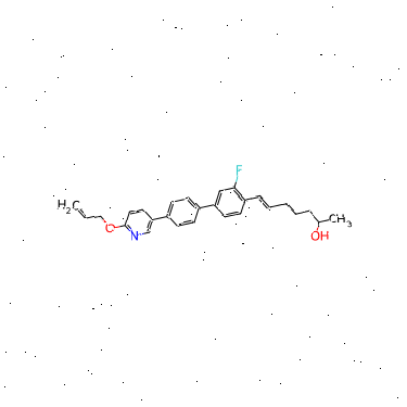 C=CCOc1ccc(-c2ccc(-c3ccc(C=CCCCC(C)O)c(F)c3)cc2)cn1